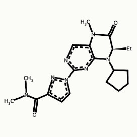 CC[C@@H]1C(=O)N(C)c2cnc(-n3ccc(C(=O)N(C)C)n3)nc2N1C1CCCC1